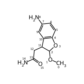 COC1Oc2ccc(N)cc2C1CC(N)=O